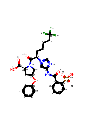 O=C(Nc1cn(C(CCCCC(F)(F)F)C(=O)N2C[C@@H](Oc3ccccc3)C[C@H]2C(=O)O)cn1)c1ccccc1S(=O)(=O)O